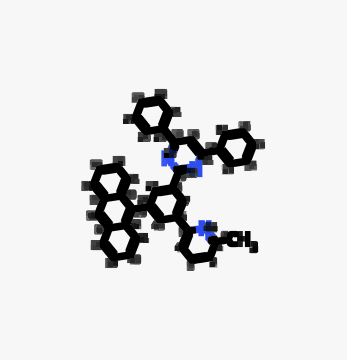 Cc1cccc(-c2cc(-c3nc(-c4ccccc4)cc(-c4ccccc4)n3)cc(-c3c4ccccc4cc4ccccc34)c2)n1